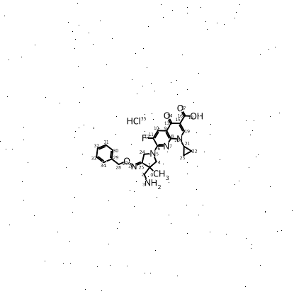 CC1(CN)CN(c2nc3c(cc2F)c(=O)c(C(=O)O)cn3C2CC2)C/C1=N\OCc1ccccc1.Cl